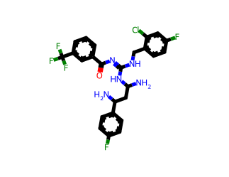 NC(CC(N)c1ccc(F)cc1)N/C(=N\C(=O)c1cccc(C(F)(F)F)c1)NCc1ccc(F)cc1Cl